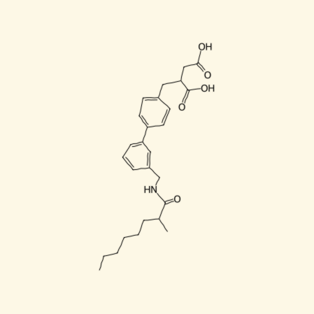 CCCCCCC(C)C(=O)NCc1cccc(-c2ccc(CC(CC(=O)O)C(=O)O)cc2)c1